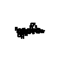 C=C(Nc1ccc(Br)cc1)c1cc2nc(Nc3c(Cl)cc(F)cc3Cl)[nH]c2cc1OCC(F)(F)F